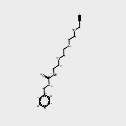 C#CCOCCOCCOCCNC(=O)OCc1ccccc1